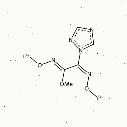 COC(=NOC(C)C)C(=NOC(C)C)n1cncn1